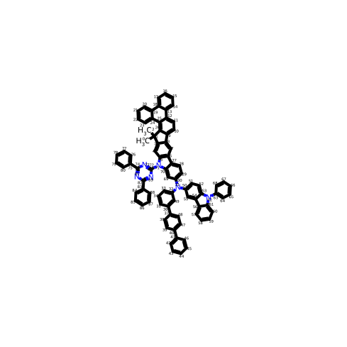 CC1(C)c2cc3c(cc2-c2ccc4c5ccccc5c5ccccc5c4c21)c1ccc(N(c2cccc(-c4ccc(-c5ccccc5)cc4)c2)c2ccc4c(c2)c2ccccc2n4-c2ccccc2)cc1n3-c1nc(-c2ccccc2)nc(-c2ccccc2)n1